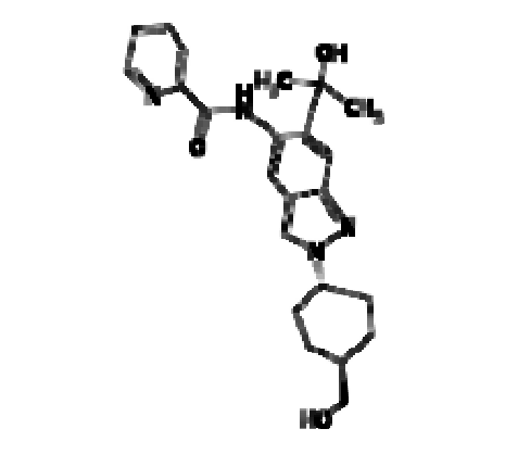 CC(C)(O)c1cc2nn([C@H]3CC[C@H](CO)CC3)cc2cc1NC(=O)c1ccccn1